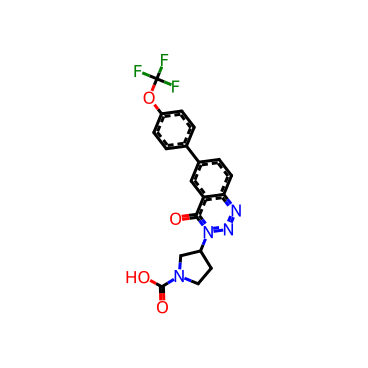 O=C(O)N1CCC(n2nnc3ccc(-c4ccc(OC(F)(F)F)cc4)cc3c2=O)C1